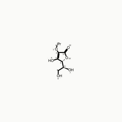 CC(C)OC1=C(O)[C@@H]([C@@H](O)CO)OC1=O